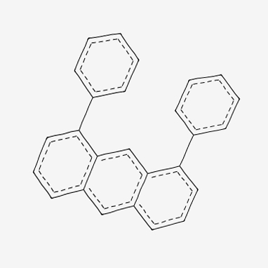 c1ccc(-c2cccc3cc4cccc(-c5ccccc5)c4cc23)cc1